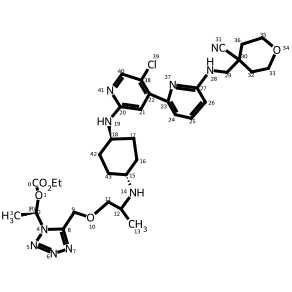 CCOC(=O)O[C@H](C)n1nnnc1COCC(C)N[C@H]1CC[C@H](Nc2cc(-c3cccc(NCC4(C#N)CCOCC4)n3)c(Cl)cn2)CC1